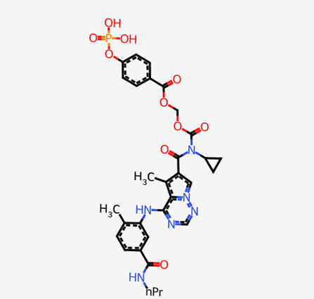 CCCNC(=O)c1ccc(C)c(Nc2ncnn3cc(C(=O)N(C(=O)OCOC(=O)c4ccc(OP(=O)(O)O)cc4)C4CC4)c(C)c23)c1